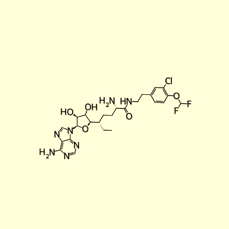 CC[C@@H](CC[C@H](N)C(=O)NCCc1ccc(OC(F)F)c(Cl)c1)[C@H]1O[C@@H](n2cnc3c(N)ncnc32)[C@@H](O)C1O